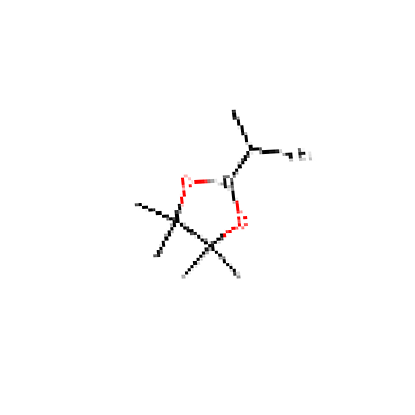 CCCCC(C)B1OC(C)(C)C(C)(C)O1